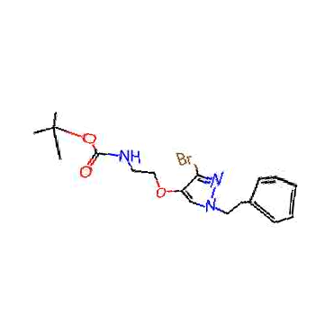 CC(C)(C)OC(=O)NCCOc1cn(Cc2ccccc2)nc1Br